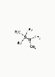 CCC(C)[Si](C)(C(C)CC)N(C)C